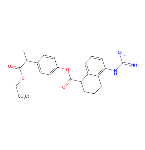 CCOC(=O)COC(=O)C(C)c1ccc(OC(=O)C2CCCc3c(NC(=N)N)cccc32)cc1